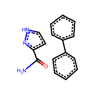 NC(=O)c1cc[nH]n1.c1ccc(-c2ccccc2)cc1